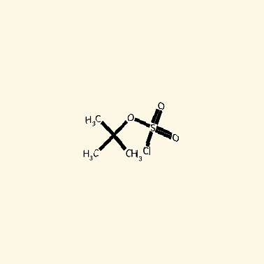 CC(C)(C)OS(=O)(=O)Cl